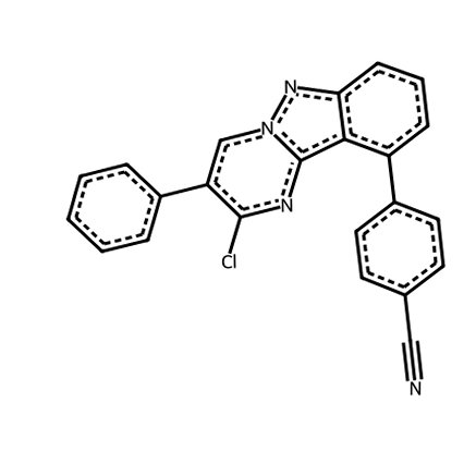 N#Cc1ccc(-c2cccc3nn4cc(-c5ccccc5)c(Cl)nc4c23)cc1